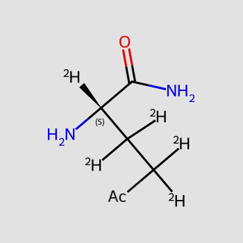 [2H]C([2H])(C(C)=O)C([2H])([2H])[C@]([2H])(N)C(N)=O